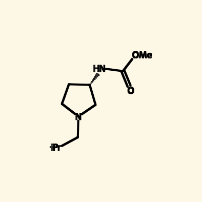 COC(=O)N[C@H]1CCN(C[C](C)C)C1